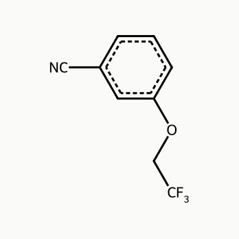 N#Cc1cccc(OCC(F)(F)F)c1